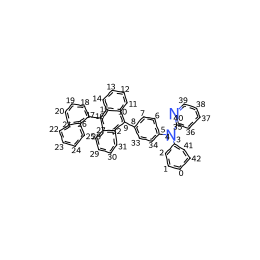 c1ccc(N(c2ccc(-c3c4ccccc4c(-c4cccc5ccccc45)c4ccccc34)cc2)c2ccccn2)cc1